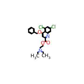 CCN(CC)CCOC(=O)c1cc(OCc2ccccc2)c2c(Cl)cc(Cl)cc2n1